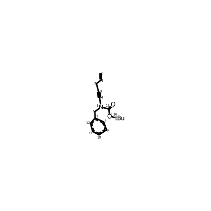 C=CCC#CN(Cc1ccccc1)C(=O)OC(C)(C)C